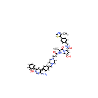 Cc1ncsc1-c1ccc(CNC(=O)[C@@H]2C[C@@H](O)CN2C(=O)[C@@H](NC(=O)CCN2CCN(Cc3ccc(-c4cc(-c5ccccc5O)nnc4N)cc3)CC2)C(C)(C)C)cc1